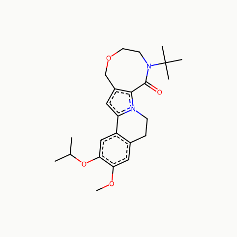 COc1cc2c(cc1OC(C)C)-c1cc3c(n1CC2)C(=O)N(C(C)(C)C)CCOC3